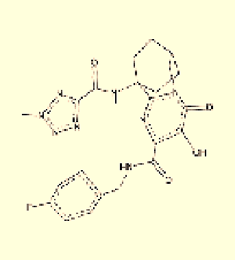 Cn1nnc(C(=O)NC23CCC(CC2)Cn2c3nc(C(=O)NCc3ccc(F)cc3)c(O)c2=O)n1